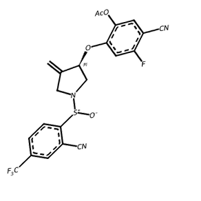 C=C1CN([S+]([O-])c2ccc(C(F)(F)F)cc2C#N)C[C@@H]1Oc1cc(F)c(C#N)cc1OC(C)=O